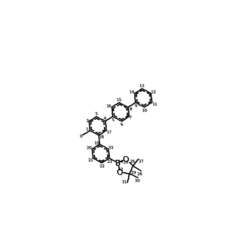 Cc1ccc(-c2ccc(-c3ccccc3)cc2)cc1-c1cccc(B2OC(C)(C)C(C)(C)O2)c1